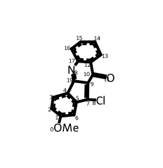 COc1ccc2c(c1)C(Cl)=C1C(=O)c3ccccc3N=C12